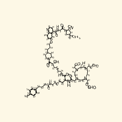 CC1(F)C[C@H](C#N)N(C(=O)CNC(=O)c2ccnc3ccc(OCCCC4CCN(C(=O)[C@H](O)CSCCNC(=O)C(CCOCCNC(=O)CCCc5ccc(I)cc5)NC(=O)CN5CCN(COC=O)CCN(COC=O)CCN(CC(=O)O)CC5)CC4)cc23)C1